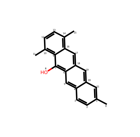 Cc1ccc2cc3c(O)c4c(C)ccc(C)c4cc3cc2c1